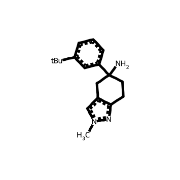 Cn1cc2c(n1)CCC(N)(c1cccc(C(C)(C)C)c1)C2